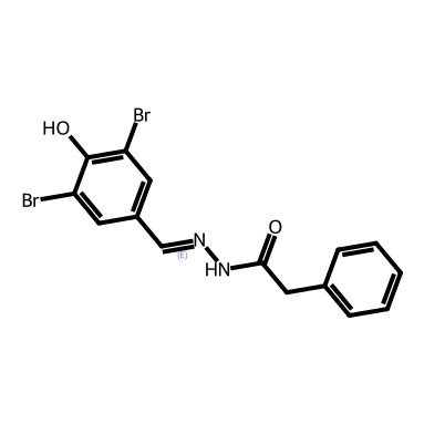 O=C(Cc1ccccc1)N/N=C/c1cc(Br)c(O)c(Br)c1